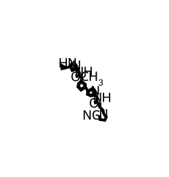 C[C@H](C(=O)Nc1cc(C2CC2)[nH]n1)c1cccc(-c2ccc(NC(=O)C=CCN3CCC[C@H]3C#N)nc2)c1